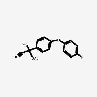 C#CC(CCC)(OC(C)=O)c1ccc(Oc2ccc(F)cc2)cc1